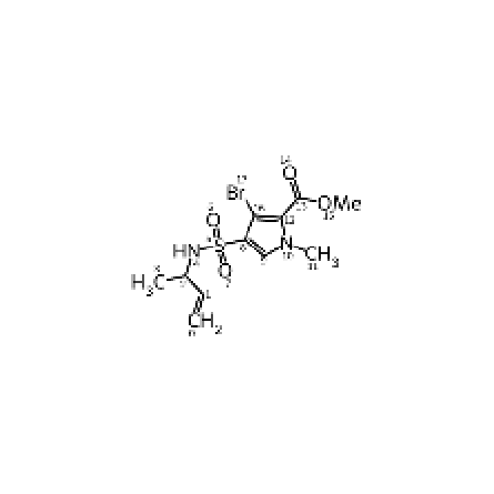 C=CC(C)NS(=O)(=O)c1cn(C)c(C(=O)OC)c1Br